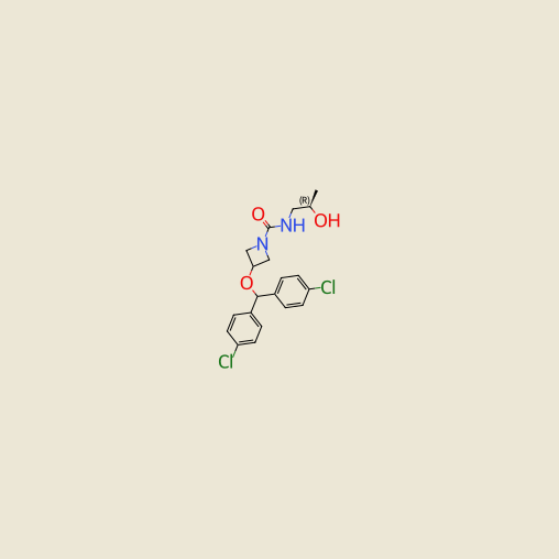 C[C@@H](O)CNC(=O)N1CC(OC(c2ccc(Cl)cc2)c2ccc(Cl)cc2)C1